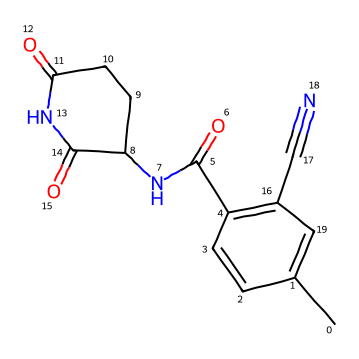 Cc1ccc(C(=O)NC2CCC(=O)NC2=O)c(C#N)c1